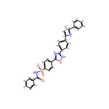 O=C(NS(=O)(=O)c1ccc(-c2nc(-c3ccc(-c4csc(-c5ccccc5)n4)cc3)no2)cc1)c1ccccc1